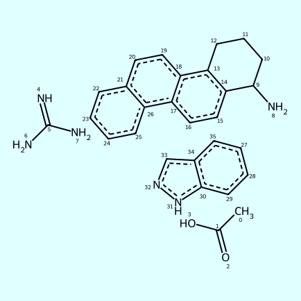 CC(=O)O.N=C(N)N.NC1CCCc2c1ccc1c2ccc2ccccc21.c1ccc2[nH]ncc2c1